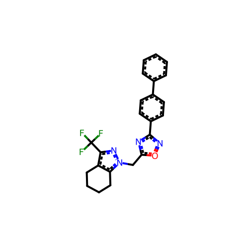 FC(F)(F)c1nn(Cc2nc(-c3ccc(-c4ccccc4)cc3)no2)c2c1CCCC2